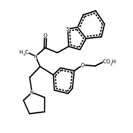 CN(C(=O)Cc1cc2ccccc2s1)C(CN1CCCC1)c1cccc(OCC(=O)O)c1